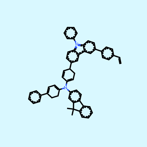 C=Cc1ccc(-c2ccc3c(c2)c2cc(C4C=CC(N(C5=CC=C(c6ccccc6)CC5)c5ccc6c(c5)C(C)(C)c5ccccc5-6)=CC4)ccc2n3-c2ccccc2)cc1